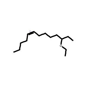 CCCC/C=C\CCCCC(CC)OCC